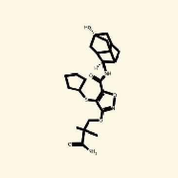 CC(C)(COc1noc(C(=O)N[C@H]2C3CC4CC2C[C@](O)(C4)C3)c1SC1CCCC1)C(N)=O